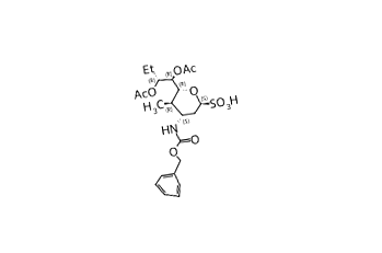 CC[C@@H](OC(C)=O)[C@@H](OC(C)=O)[C@@H]1O[C@@H](S(=O)(=O)O)C[C@H](NC(=O)OCc2ccccc2)[C@H]1C